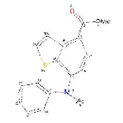 COC(=O)c1ccc(N(C(C)=O)c2ccccc2)c2sccc12